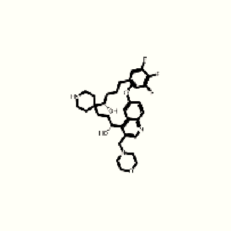 COc1ccc2ncc(CN3CCOCC3)c([C@H](O)CCC3([C@@H](O)CCCc4cc(F)c(F)c(F)c4)CCNCC3)c2c1